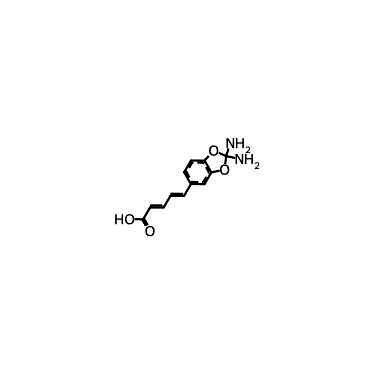 NC1(N)Oc2ccc(C=CC=CC(=O)O)cc2O1